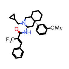 COc1cccc([C@@]23CCCCC2CN(CC2CC2)[C@H](NC(=O)C(=Cc2ccccc2)C(F)(F)F)C3)c1